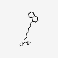 ClC(Br)CCCCCCCc1cccc2ccccc12